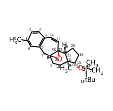 Cc1ccc2c(c1)C[C@@]13CC[C@]4(C)[C@@H](O[Si](C)(C)C(C)(C)C)CC[C@H]4[C@]1(C=C2)O3